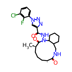 C[C@@H]1CCC[CH]C(=O)NCC2CCCCC2N(NC(=O)c2cn(-c3cccc(Cl)c3F)nn2)C1=O